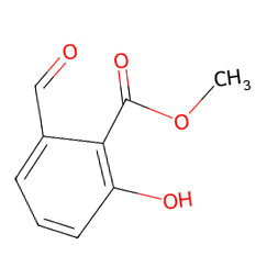 COC(=O)c1c(O)cccc1C=O